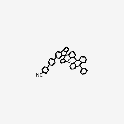 N#Cc1ccc(-c2ccc(-c3ccc4c(c3)C3(c5ccccc5Sc5c(-c6c7ccccc7c(-c7ccccc7)c7ccccc67)cccc53)c3ccccc3-4)cc2)cc1